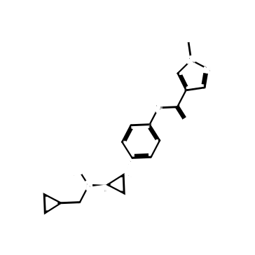 Cn1cc(C(=O)Nc2ccc([C@@H]3C[C@H]3N(CC3CC3)C(=O)O)cc2)cn1